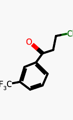 O=C(CCCl)c1cccc(C(F)(F)F)c1